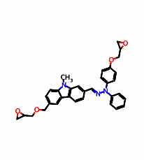 Cn1c2ccc(COCC3CO3)cc2c2ccc(C=NN(c3ccccc3)c3ccc(OCC4CO4)cc3)cc21